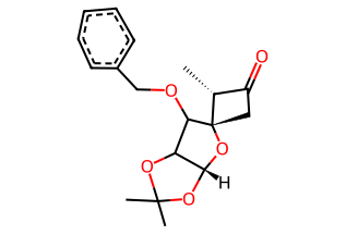 C[C@@H]1C(=O)C[C@]12O[C@@H]1OC(C)(C)OC1C2OCc1ccccc1